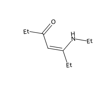 CCN/C(=C\C(=O)CC)CC